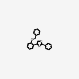 c1ccc(COc2ccccc2-c2coc(-c3ccccc3)n2)cc1